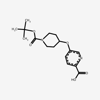 CC(C)(C)OC(=O)N1CCC(Oc2ccc(C(=O)O)nc2)CC1